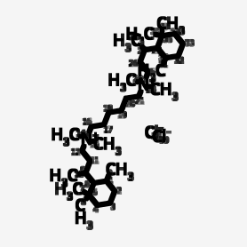 CC1CCCC(C)(C)C1C(C)CC[N+](C)(C)CCCCCC[N+](C)(C)CCC(C)C1C(C)CCCC1(C)C.[Cl-].[Cl-]